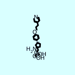 N[C@]1(COP(=O)(O)O)CC[C@@H](c2ccc(OCCCc3ccncc3)cc2)C1